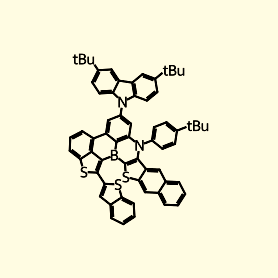 CC(C)(C)c1ccc(N2c3cc(-n4c5ccc(C(C)(C)C)cc5c5cc(C(C)(C)C)ccc54)cc4c3B(c3sc5cc6ccccc6cc5c32)c2c(-c3cc5ccccc5s3)sc3cccc-4c23)cc1